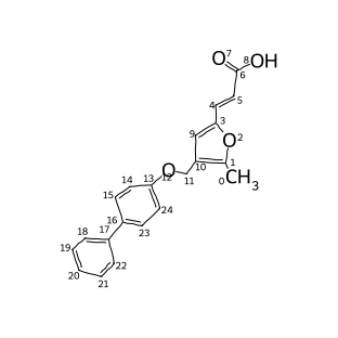 Cc1oc(C=CC(=O)O)cc1COc1ccc(-c2ccccc2)cc1